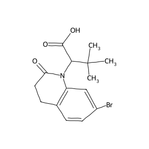 CC(C)(C)C(C(=O)O)N1C(=O)CCc2ccc(Br)cc21